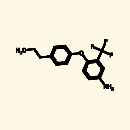 CCCc1ccc(Oc2ccc(N)cc2C(F)(F)F)cc1